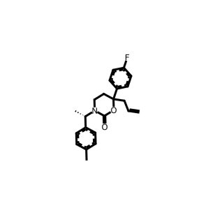 C=CCC1(c2ccc(F)cc2)CCN([C@@H](C)c2ccc(C)cc2)C(=O)O1